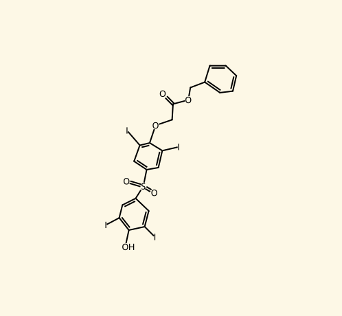 O=C(COc1c(I)cc(S(=O)(=O)c2cc(I)c(O)c(I)c2)cc1I)OCc1ccccc1